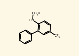 O=C(O)Nc1ccc(C(F)(F)F)cc1-c1ccccc1